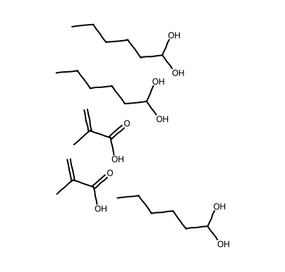 C=C(C)C(=O)O.C=C(C)C(=O)O.CCCCCC(O)O.CCCCCC(O)O.CCCCCC(O)O